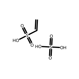 C=CS(=O)(=O)O.O=S(=O)(O)O